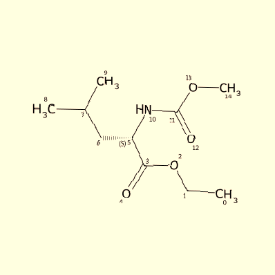 CCOC(=O)[C@H](CC(C)C)NC(=O)OC